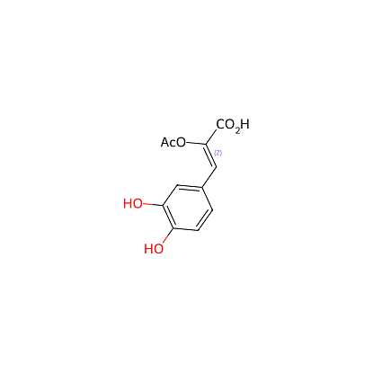 CC(=O)O/C(=C\c1ccc(O)c(O)c1)C(=O)O